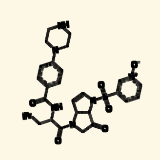 CC(C)CC(NC(=O)c1ccc(N2CCNCC2)cc1)C(=O)N1CC(=O)C2C1C=CN2S(=O)(=O)c1ccc[n+]([O-])c1